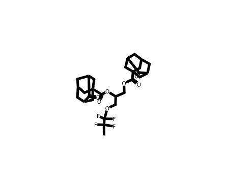 CC(F)(F)C(F)(F)OCC(COC(=O)C12CC3CC(C1)C(=O)C(C3)C2)OC(=O)C12CC3CC(C1)C(=O)C(C3)C2